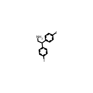 NCC(c1ccc(I)cc1)c1ccc(I)cc1